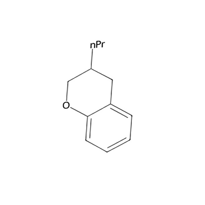 CCCC1COc2ccccc2C1